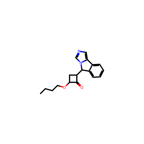 CCCCOC1CC(C2c3ccccc3-c3cncn32)C1=O